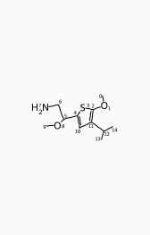 COc1sc(C(CN)OC)cc1C(C)C